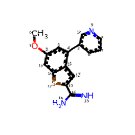 COc1cc(-c2cccnc2)c2cc(C(=N)N)sc2c1